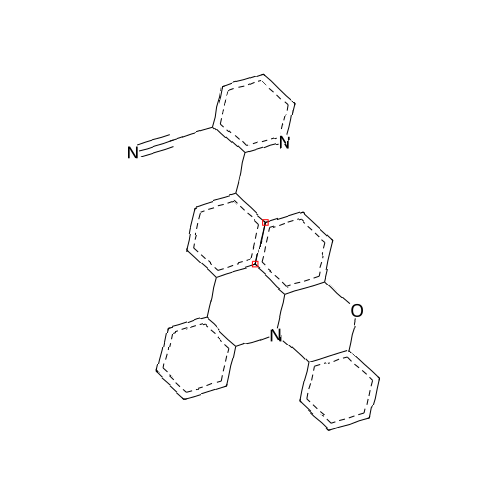 N#Cc1cccnc1-c1ccc(-c2ccccc2N2c3ccccc3Oc3ccccc32)cc1